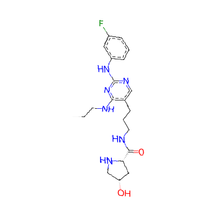 CCCNc1nc(Nc2cccc(F)c2)ncc1CCCNC(=O)[C@@H]1C[C@H](O)CN1